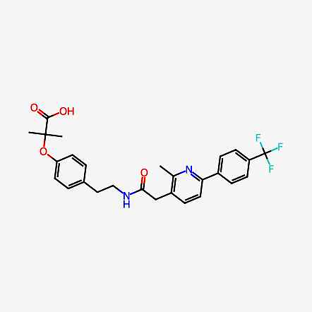 Cc1nc(-c2ccc(C(F)(F)F)cc2)ccc1CC(=O)NCCc1ccc(OC(C)(C)C(=O)O)cc1